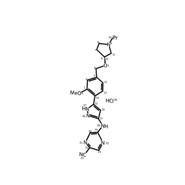 COc1cc(CO[C@H]2CCN(C(C)C)C2)ccc1-c1cc(Nc2cnc(C#N)cn2)n[nH]1.Cl